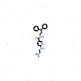 CN(C)CCNc1ccc(C(=O)NCCC(c2ccccc2)c2ccccc2)cn1